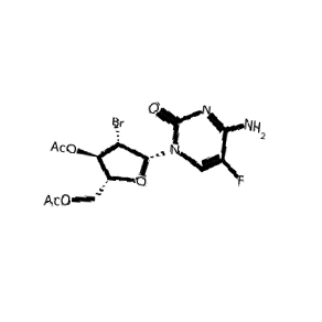 CC(=O)OC[C@H]1O[C@@H](n2cc(F)c(N)nc2=O)[C@@H](Br)[C@@H]1OC(C)=O